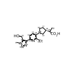 CCc1nc(-c2nnn(C)c2CO)ccc1N1CC[C@@H](C(C)C(=O)O)C1